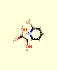 Brc1ccccn1.O=C(O)CO